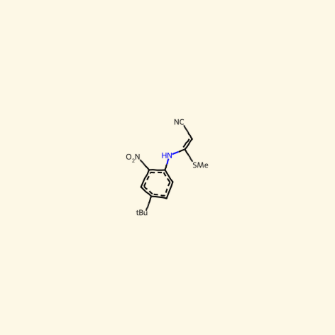 CS/C(=C/C#N)Nc1ccc(C(C)(C)C)cc1[N+](=O)[O-]